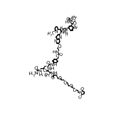 Cc1cccc(-c2nc(CNc3ccc(Br)c(C(=O)NS(=O)(=O)C(C)C)c3)[nH]c2-c2ccc3ncc(OCCNC(=O)OCc4ccc(NC(=O)[C@H](CCCNC(N)=O)NC(=O)[C@@H](NC(=O)CCOCCOCCOCCOCCN5C(=O)C=CC5=O)C(C)C)cc4)cc3n2)n1